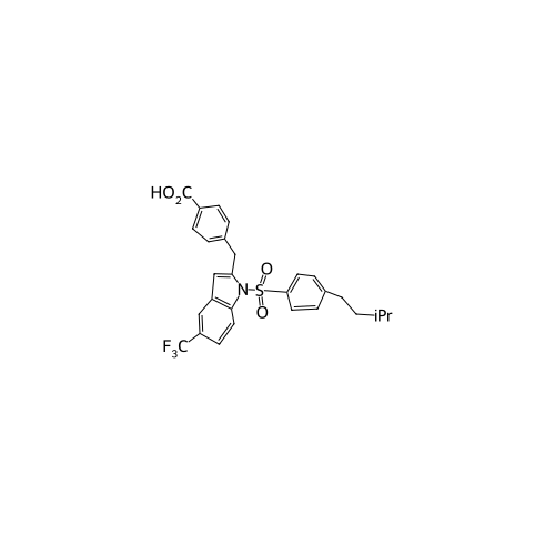 CC(C)CCc1ccc(S(=O)(=O)n2c(Cc3ccc(C(=O)O)cc3)cc3cc(C(F)(F)F)ccc32)cc1